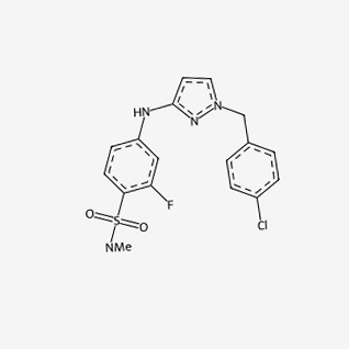 CNS(=O)(=O)c1ccc(Nc2ccn(Cc3ccc(Cl)cc3)n2)cc1F